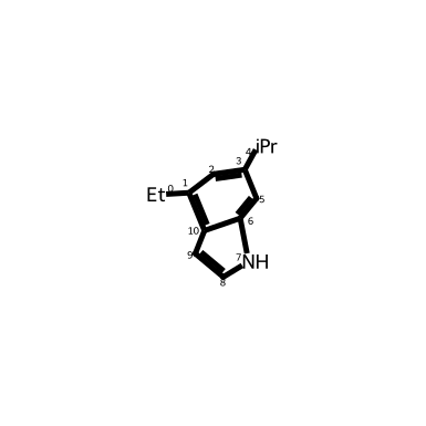 CCc1cc(C(C)C)cc2[nH]ccc12